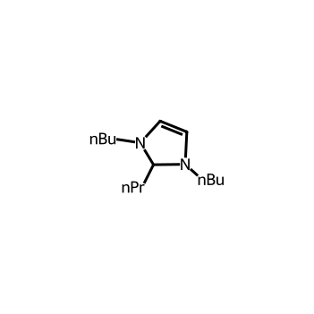 CCCCN1C=CN(CCCC)C1CCC